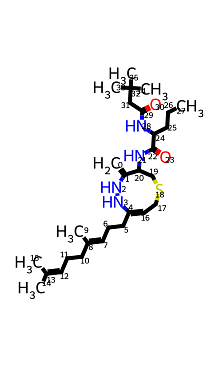 C=C1NN/C(CC/C=C(\C)CCC=C(C)C)=C\CSCC1NC(=O)C(CCC)NC(=O)CC(C)(C)C